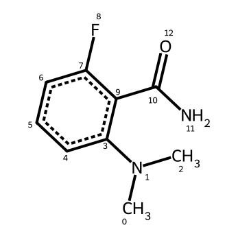 CN(C)c1cccc(F)c1C(N)=O